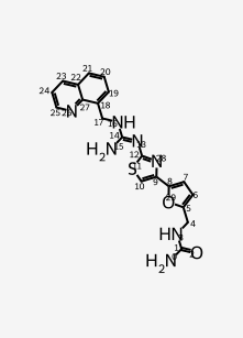 NC(=O)NCc1ccc(-c2csc(/N=C(\N)NCc3cccc4cccnc34)n2)o1